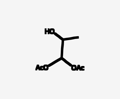 CC(=O)OC(OC(C)=O)C(C)O